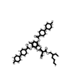 CCCCC(CC)COC(=O)/C(C#N)=C1\Sc2c(OC(=O)C3CCC(C4CCC(C)CC4)CC3)cc(C)c(OC(=O)C3CCC(C4CCC(C)CC4)CC3)c2S1